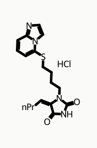 CCCC=C1C(=O)NC(=O)N1CCCCSc1cccc2nccn12.Cl